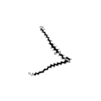 CCCCCCCCCCCCCCCCCCC1=NCCN1CCCOC(=O)CCCCCCCCCCCCCCCCC